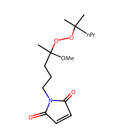 CCCC(C)(C)OOC(C)(CCCN1C(=O)C=CC1=O)OC